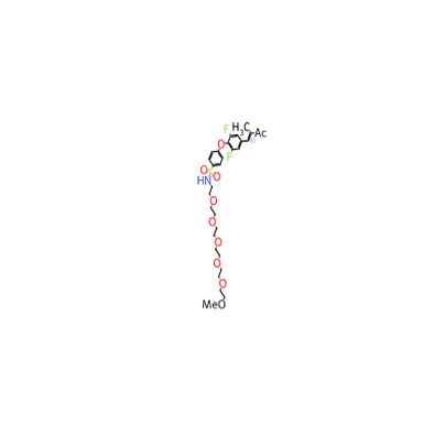 COCCOCCOCCOCCOCCOCCNS(=O)(=O)c1ccc(Oc2c(F)cc(/C=C(\C)C(C)=O)cc2F)cc1